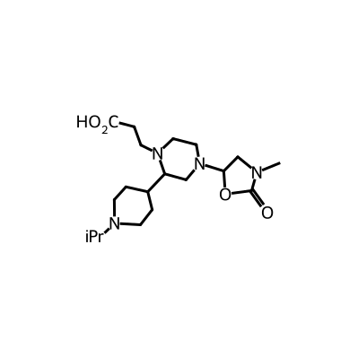 CC(C)N1CCC(C2CN(C3CN(C)C(=O)O3)CCN2CCC(=O)O)CC1